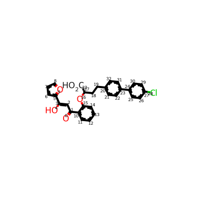 O=C(/C=C(\O)c1ccco1)c1ccccc1OC(CCc1ccc(-c2ccc(Cl)cc2)cc1)C(=O)O